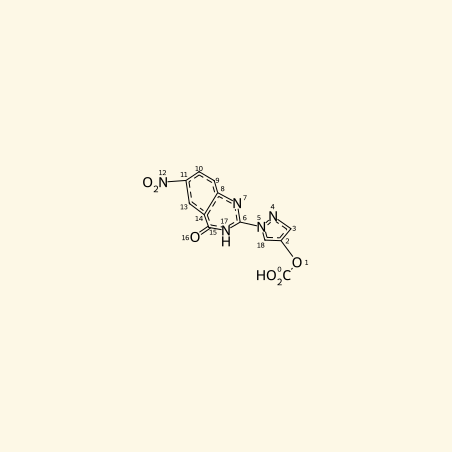 O=C(O)Oc1cnn(-c2nc3ccc([N+](=O)[O-])cc3c(=O)[nH]2)c1